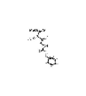 COC(=O)C(=[N+]=[N-])C(=O)CNC(=O)OCc1ccccc1